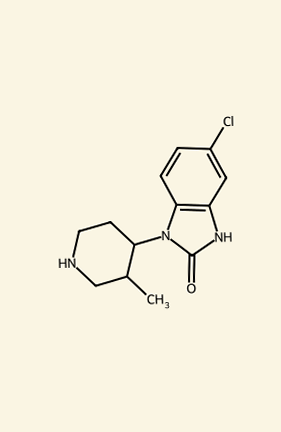 CC1CNCCC1n1c(=O)[nH]c2cc(Cl)ccc21